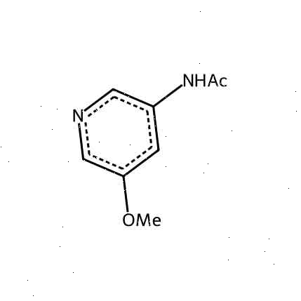 COc1cncc(NC(C)=O)c1